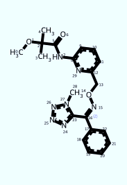 COC(C)(C)C(=O)Nc1cccc(CO/N=C(/c2ccccc2)c2nnnn2C)n1